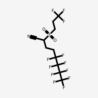 N#CC(CCC(F)(F)C(F)(F)C(F)(F)C(F)(F)F)S(=O)(=O)CCC(F)(F)F